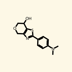 CN(C)c1ccc(-c2nc3c(s2)C(O)COC3)cc1